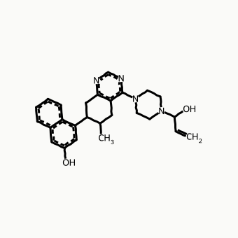 C=CC(O)N1CCN(c2ncnc3c2CC(C)C(c2cc(O)cc4ccccc24)C3)CC1